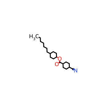 CCCCCCCC1CCC(OC(=O)C2CCC(C#N)CC2)CC1